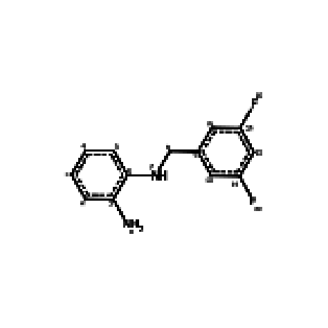 Nc1ccccc1NCc1cc(F)cc(F)c1